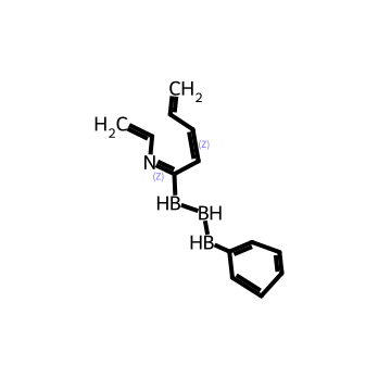 C=C/C=C\C(BBBc1ccccc1)=N/C=C